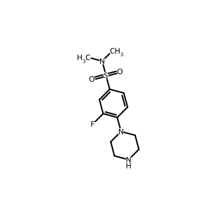 CN(C)S(=O)(=O)c1ccc(N2CCNCC2)c(F)c1